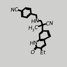 CCc1cc2ccc(C(C)(C#N)CNCc3ccc(C#N)cc3)cc2[nH]c1=O